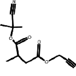 C#CCOC(=O)CC(C)C(=O)OC(C)(C)C#N